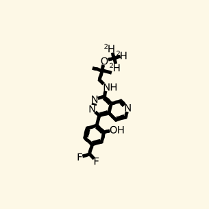 [2H]C([2H])([2H])OC(C)(C)CNc1nnc(-c2ccc(C(F)F)cc2O)c2ccncc12